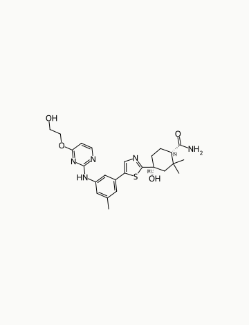 Cc1cc(Nc2nccc(OCCO)n2)cc(-c2cnc([C@@]3(O)CC[C@H](C(N)=O)C(C)(C)C3)s2)c1